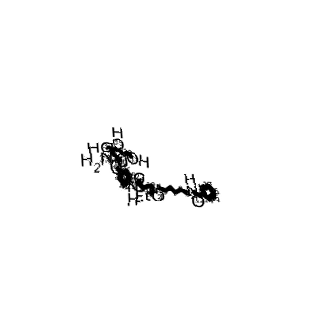 CCC(=O)N(CCCCCCNC(=O)c1ccccc1)CCC(=O)Nc1ccc(OC2OC(CO)C(O)C(O)C2N)cc1